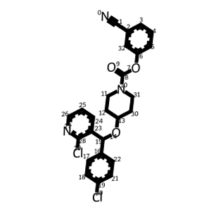 N#Cc1cccc(OC(=O)N2CCC(OC(c3ccc(Cl)cc3)c3cccnc3Cl)CC2)c1